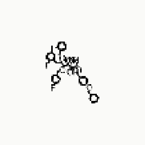 OC[C@@H](OCc1ccc(OCc2ccccc2)cc1)[C@@H](O)[C@H](O)[C@H](OCc1ccc(F)cc1)C(Cc1ccccc1F)OCc1ccccc1F